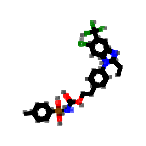 CCc1nc2cc(C(F)(F)F)c(Cl)cc2n1-c1ccc(CCOC(=O)NS(=O)(=O)c2ccc(C)cc2)cc1